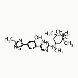 Cc1nsc(-c2ccc(-c3cnc(N(C)C4CC(C)(C)NC(C)(C)C4)nn3)c(O)c2)n1